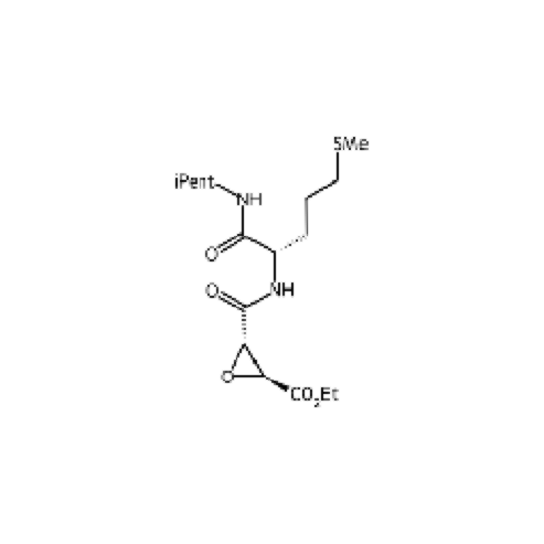 CCCC(C)NC(=O)[C@H](CCCSC)NC(=O)[C@H]1O[C@@H]1C(=O)OCC